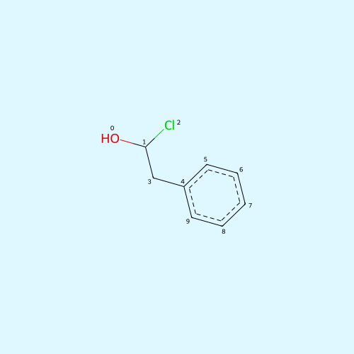 OC(Cl)Cc1ccccc1